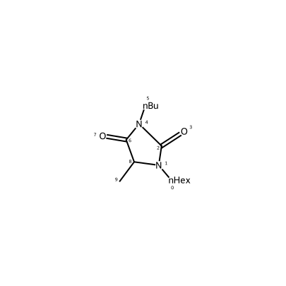 CCCCCCN1C(=O)N(CCCC)C(=O)C1C